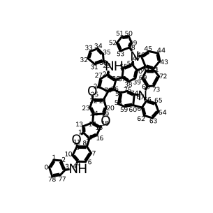 c1ccc(Nc2ccc3c(c2)oc2cc4c(cc23)oc2cc3c(cc24)oc2cc(Nc4ccccc4)c(-c4ccc5c6ccccc6n(-c6ccccc6)c5c4)c(-c4ccc5c6ccccc6n(-c6ccccc6)c5c4)c23)cc1